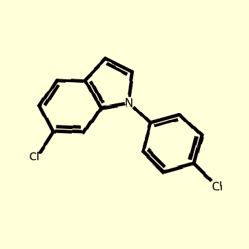 Clc1ccc(-n2ccc3ccc(Cl)cc32)cc1